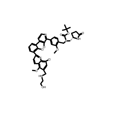 COc1cc(-c2nccc(-c3cccc(-c4ccc5c(OC)c(CNCCO)cc(Cl)c5n4)c3Cl)c2Cl)ccc1CN(C[C@@H]1CCC(=O)N1)C(=O)OC(C)(C)C